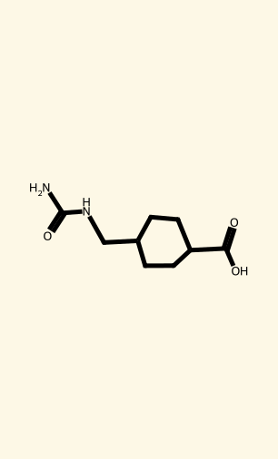 NC(=O)NCC1CCC(C(=O)O)CC1